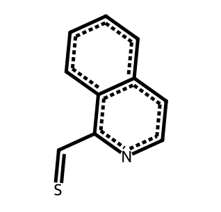 S=Cc1nccc2ccccc12